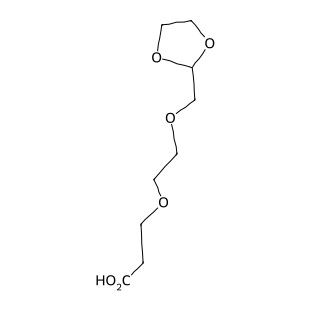 O=C(O)CCOCCOCC1OCCO1